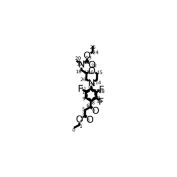 CCOC(=O)CC(=O)c1cc(F)c(N2CCOC(CN(C)C(=O)OCC)C2)c(F)c1F